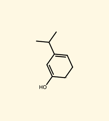 CC(C)C1=CC[CH]C(O)=C1